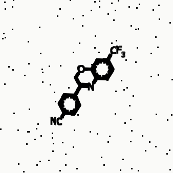 N#Cc1ccc(C2=Nc3ccc(C(F)(F)F)cc3OC2)cc1